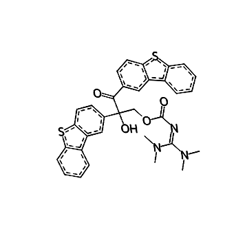 CN(C)C(=NC(=O)OCC(O)(C(=O)c1ccc2sc3ccccc3c2c1)c1ccc2sc3ccccc3c2c1)N(C)C